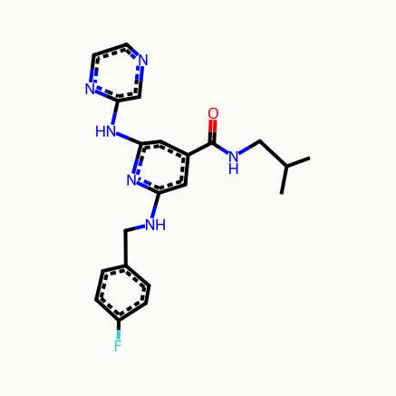 CC(C)CNC(=O)c1cc(NCc2ccc(F)cc2)nc(Nc2cnccn2)c1